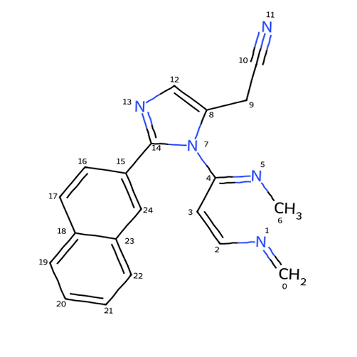 C=N/C=C\C(=N/C)n1c(CC#N)cnc1-c1ccc2ccccc2c1